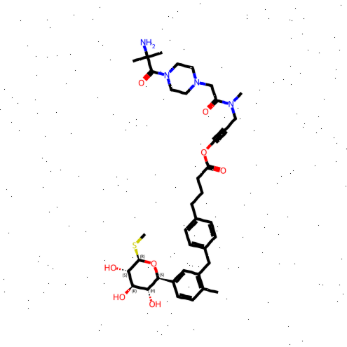 CS[C@H]1O[C@@H](c2ccc(C)c(Cc3ccc(CCCC(=O)OC#CCN(C)C(=O)CN4CCN(C(=O)C(C)(C)N)CC4)cc3)c2)[C@H](O)[C@@H](O)[C@@H]1O